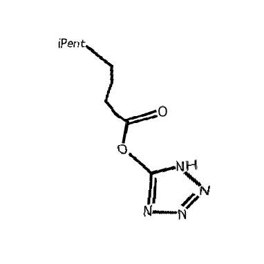 CCCC(C)CCC(=O)Oc1nnn[nH]1